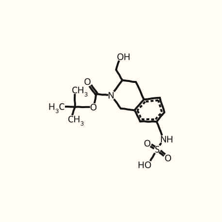 CC(C)(C)OC(=O)N1Cc2cc(NS(=O)(=O)O)ccc2CC1CO